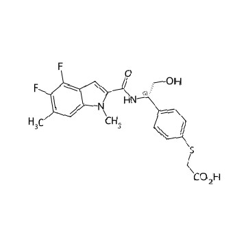 Cc1cc2c(cc(C(=O)N[C@H](CO)c3ccc(SCC(=O)O)cc3)n2C)c(F)c1F